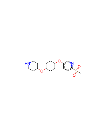 Cc1nc(S(C)(=O)=O)ccc1OC1CCC(OC2CCNCC2)CC1